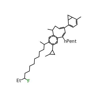 CCCCC/C1=C/C(C2=CC=C(C)C3CC23)=C/CC(C)c2cc(C(C)CCCCCCCCC(F)CC)c(C3CC3C)cc21